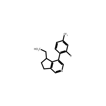 O=C(O)CC1CCc2cncc(-c3ccc(C(F)(F)F)cc3F)c21